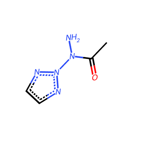 CC(=O)N(N)n1nccn1